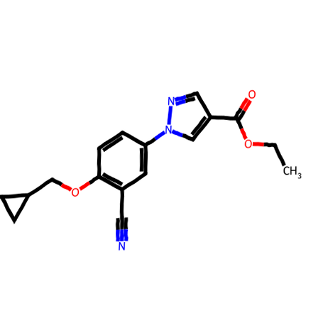 CCOC(=O)c1cnn(-c2ccc(OCC3CC3)c(C#N)c2)c1